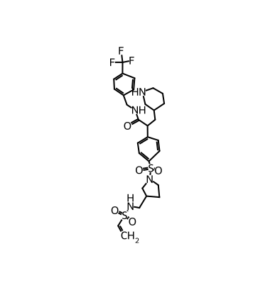 C=CS(=O)(=O)NCC1CCN(S(=O)(=O)c2ccc(C(CC3CCCNC3)C(=O)NCc3ccc(C(F)(F)F)cc3)cc2)C1